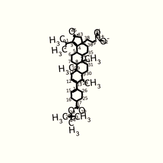 CC(C)C1=C2C3CCC4C5(C)CC=C(C6=CCC(C(=O)OC(C)(C)C)CC6)C(C)C5CCC4(C)C3CCC2(CC[N+](=O)[O-])CC1=O